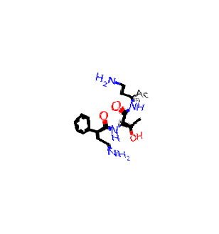 CC(=O)[C@H](CCN)NC(=O)[C@@H](NC(=O)C(CCN)c1ccccc1)C(C)O